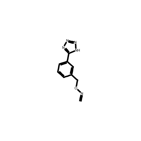 C=NOCc1cccc(-c2nnn[nH]2)c1